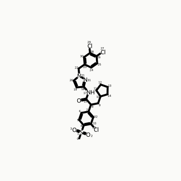 CS(=O)(=O)c1ccc(C(CC2CCCC2)C(=O)Nc2ccn(Cc3ccc(Cl)c(Cl)c3)n2)cc1Cl